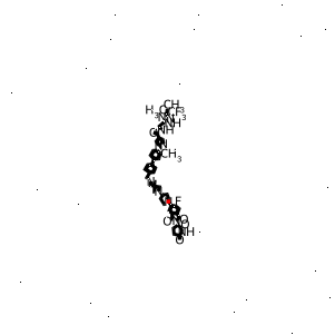 Cc1cc(-c2ccc(CN3CC4(C3)CN(C3CCN(c5cc6c(cc5F)C(=O)N(C5CCC(=O)NC5=O)C6=O)CC3)C4)cc2)ccc1-n1cc(C(=O)NCc2nc(C(C)(C)C(F)(F)F)n[nH]2)cn1